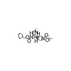 Cc1csc([C@@]2(CNC(=O)OCc3ccccc3)[C@@H]3CCN(C(=O)OC(C)(C)C)C[C@@H]32)n1